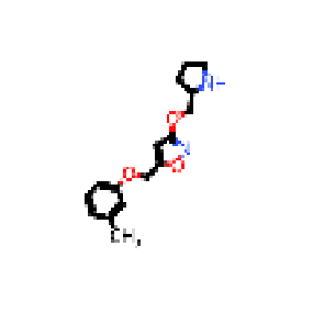 Cc1cccc(OCc2cc(OCC3CCCN3)no2)c1